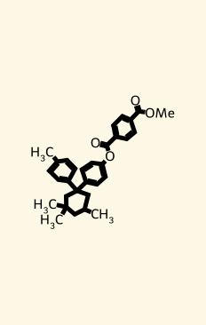 COC(=O)c1ccc(C(=O)Oc2ccc(C3(c4ccc(C)cc4)CC(C)CC(C)(C)C3)cc2)cc1